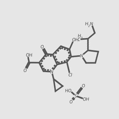 CC(CN)C1CCCN1c1c(O)cc2c(=O)c(C(=O)O)cn(C3CC3)c2c1Cl.O=S(=O)(O)O